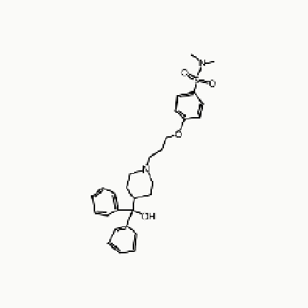 CN(C)S(=O)(=O)c1ccc(OCCCN2CCC(C(O)(c3ccccc3)c3ccccc3)CC2)cc1